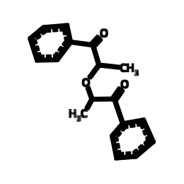 CC(OC(C)C(=O)c1ccccc1)C(=O)c1ccccc1